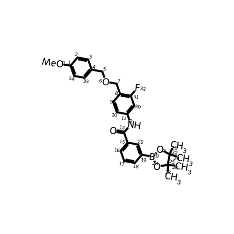 COc1ccc(COCc2ccc(NC(=O)c3cccc(B4OC(C)(C)C(C)(C)O4)c3)cc2F)cc1